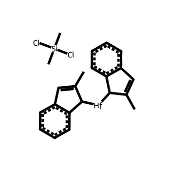 CC1=Cc2ccccc2[CH]1[Hf][CH]1C(C)=Cc2ccccc21.C[Si](C)(Cl)Cl